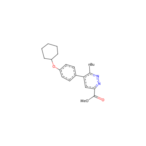 CCCCc1nnc(C(=O)OC)cc1-c1ccc(OC2CCCCC2)cc1